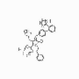 CCCCc1c(C(OC)OC)n(CCc2ccccc2)c(=O)n1Cc1ccc(-c2ccccc2-c2nnn[nH]2)cc1